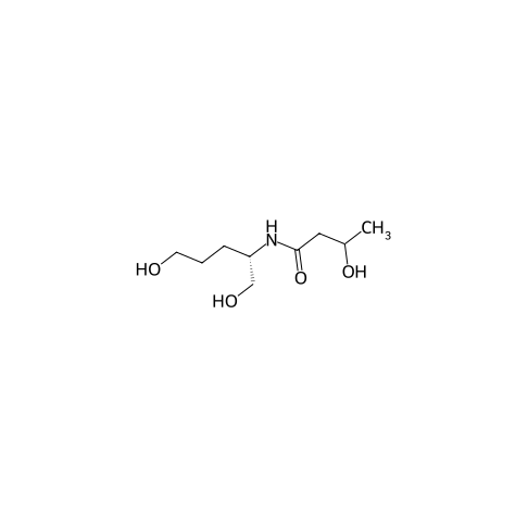 CC(O)CC(=O)N[C@H](CO)CCCO